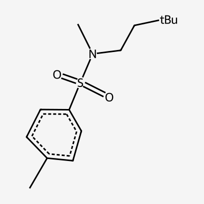 Cc1ccc(S(=O)(=O)N(C)CCC(C)(C)C)cc1